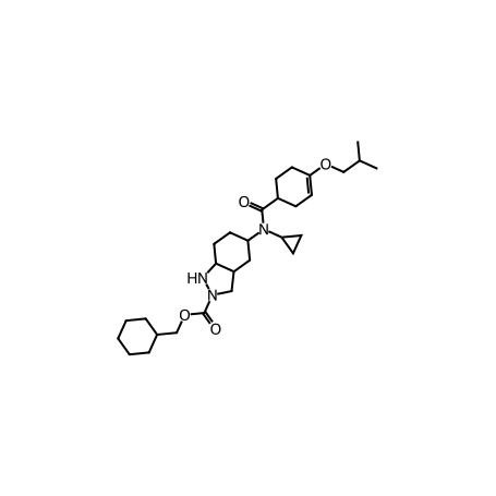 CC(C)COC1=CCC(C(=O)N(C2CC2)C2CCC3NN(C(=O)OCC4CCCCC4)CC3C2)CC1